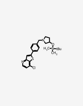 CC(C)(C)[Si](C)(C)OC1CCN(Cc2ccc(-c3cc4nccc(Cl)c4s3)cc2)C1